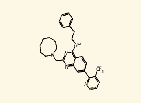 FC(F)(F)c1cccnc1-c1ccc2c(NCCc3ccccc3)nc(CN3CCCCCCC3)nc2c1